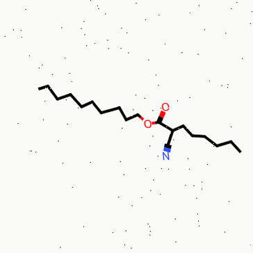 CCCCCCCCCCOC(=O)C(C#N)CCCCCC